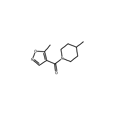 Cc1oncc1C(=O)N1CCC(C)CC1